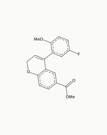 COC(=O)c1ccc2c(c1)C(c1cc(F)ccc1OC)=CCO2